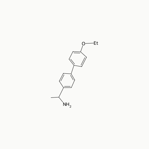 CCOc1ccc(-c2ccc(C(C)N)cc2)cc1